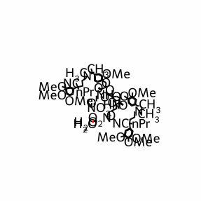 CCCC(C#N)(CCCN(C)C(C)c1ccc(OC(OC(=O)C(=O)OC(Oc2ccc(C(C)N(C)CCCC(C#N)(CCC)c3cc(OC)c(OC)c(OC)c3)cc2OC)C(=O)NCCO[N+](=O)[O-])C(=O)NCCO[N+](=O)[O-])c(OC)c1)c1cc(OC)c(OC)c(OC)c1.O.O